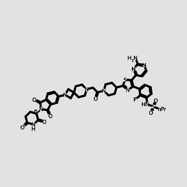 CCCS(=O)(=O)Nc1cccc(-c2nc(C3CCN(C(=O)CN4CCC5(CC4)CN(c4ccc6c(c4)C(=O)N([C@@H]4CCC(=O)NC4=O)C6=O)C5)CC3)sc2-c2ccnc(N)n2)c1F